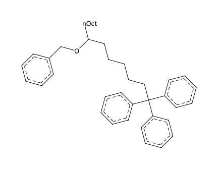 CCCCCCCCC(CCCCCC(c1ccccc1)(c1ccccc1)c1ccccc1)OCc1ccccc1